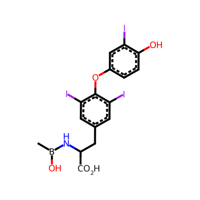 CB(O)NC(Cc1cc(I)c(Oc2ccc(O)c(I)c2)c(I)c1)C(=O)O